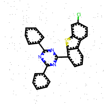 Clc1ccc2c(c1)sc1c(-c3nc(-c4ccccc4)nc(-c4ccccc4)n3)cccc12